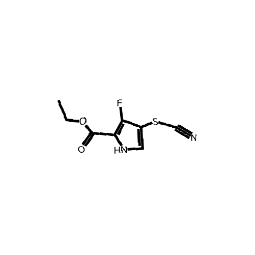 CCOC(=O)c1[nH]cc(SC#N)c1F